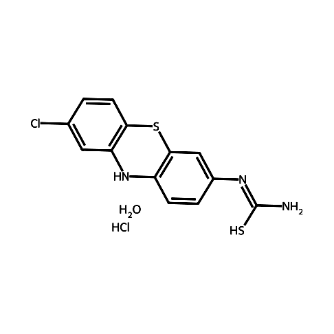 Cl.NC(S)=Nc1ccc2c(c1)Sc1ccc(Cl)cc1N2.O